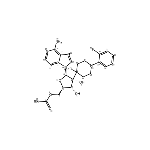 COC1([C@@]2(O)[C@H](O)[C@@H](COC(=O)C(C)(C)C)O[C@H]2n2cnc3c(N)ncnc32)CCN(c2ccccc2F)CC1